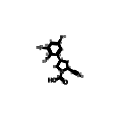 N#CC1C[C@H](c2cc(F)cc(F)c2F)CN1C(=O)O